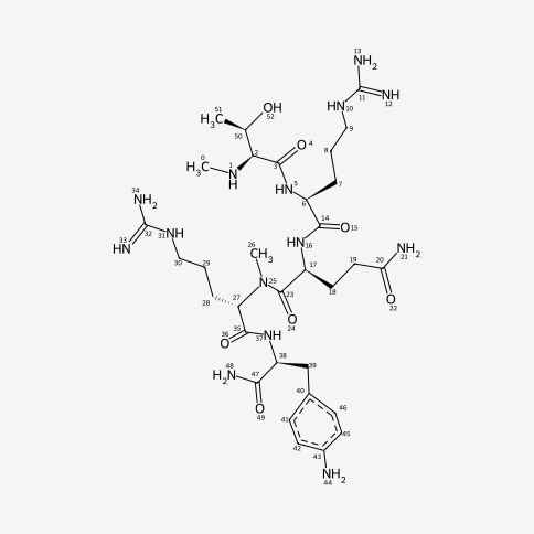 CN[C@H](C(=O)N[C@@H](CCCNC(=N)N)C(=O)N[C@@H](CCC(N)=O)C(=O)N(C)[C@@H](CCCNC(=N)N)C(=O)N[C@@H](Cc1ccc(N)cc1)C(N)=O)[C@@H](C)O